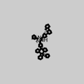 NC(N/C(=N\CC1=CC=CCC1)c1ccc(N2c3ccccc3-c3c(n(-c4ccccc4)c4ccccc34)-c3ccccc32)cc1)c1ccc(-c2cccc3c2sc2ccccc23)cc1